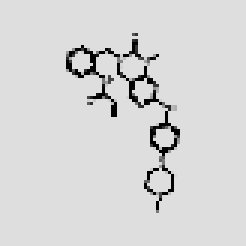 C=CC(=O)Nc1ccccc1CN1Cc2cnc(Nc3ccc(N4CCN(C)CC4)cc3)nc2N(C)C1=O